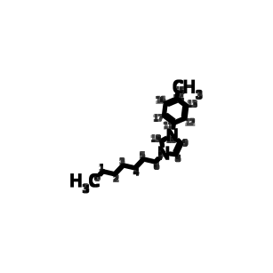 CCCCCCCN1C=CN(c2ccc(C)cc2)C1